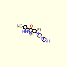 CCc1cc2c(=O)c3c4ccc(C#N)cc4[nH]c3n(C(C)C)c2cc1N1CCC(N2CCNCC2)CC1